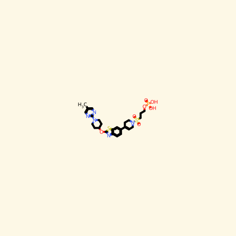 Cc1cnc(N2CCC(Oc3nc4ccc(C5=CCN(S(=O)(=O)CCCOP(=O)(O)O)CC5)cc4s3)CC2)nc1